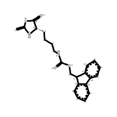 C=C1N[C@@H](CCCCNC(=O)OCC2c3ccccc3-c3ccccc32)C(=O)O1